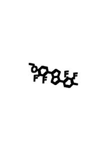 CCOc1ccc(C2=CCC3C(c4ccc(C)c(F)c4F)=CCC23)c(F)c1F